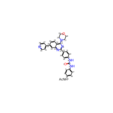 CC(=O)Nc1ccc(NC(=O)Nc2ccc(-c3nc(N4CCOCC4)c4ccc(-c5ccncc5)cc4n3)cc2)cc1